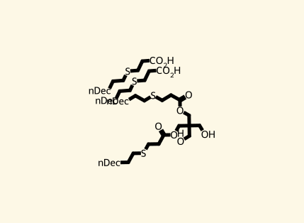 CCCCCCCCCCCCSCCC(=O)O.CCCCCCCCCCCCSCCC(=O)O.CCCCCCCCCCCCSCCC(=O)OCC(CO)(CO)COC(=O)CCSCCCCCCCCCCCC